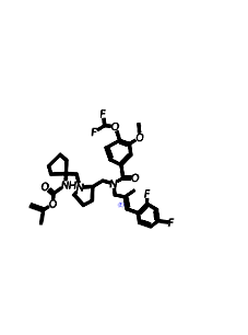 C=C(C)OC(=O)NC1(CN2CCCC2CN(C/C(C)=C/c2ccc(F)cc2F)C(=O)c2ccc(OC(F)F)c(OC)c2)CCCC1